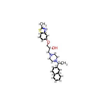 Cc1nc2cc(OC[C@H](O)CN3C[CH]N([C@@H](C)c4ccc5ccccc5c4)CC3)ccc2s1